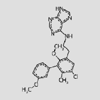 COc1cccc(-c2c(C)c(Cl)cc(CCNc3ncnc4[nH]cnc34)c2OC)c1